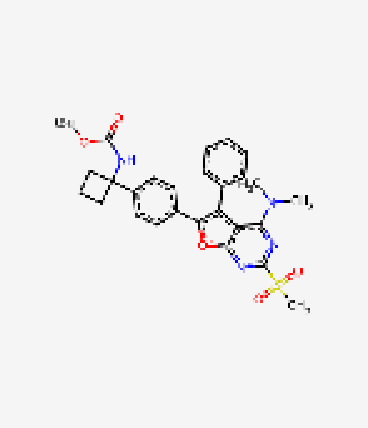 CN(C)c1nc(S(C)(=O)=O)nc2oc(-c3ccc(C4(NC(=O)OC(C)(C)C)CCC4)cc3)c(-c3ccccc3)c12